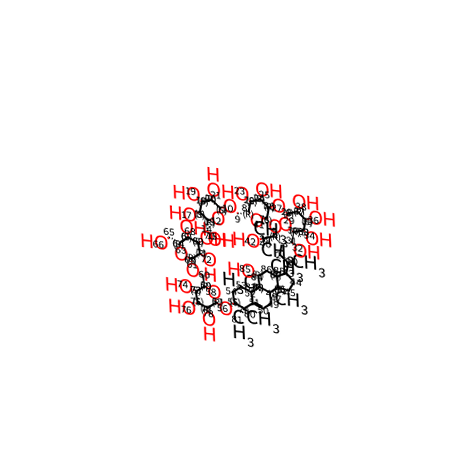 C[C@H](CC[C@@H](O[C@@H]1O[C@H](CO[C@H]2O[C@H](CO)[C@@H](O)[C@H](O)[C@H]2O)[C@@H](O)[C@H](O)[C@H]1O[C@@H]1O[C@H](CO)[C@@H](O)[C@H](O)[C@H]1O)C(C)(C)O)C1CC[C@@]2(C)C3CC=C4C(CC[C@H](O[C@@H]5O[C@H](CO[C@@H]6O[C@H](CO)[C@@H](O)[C@H](O)[C@H]6O)[C@@H](O)[C@H](O)[C@H]5O)C4(C)C)[C@]3(C)[C@H](O)C[C@]12C